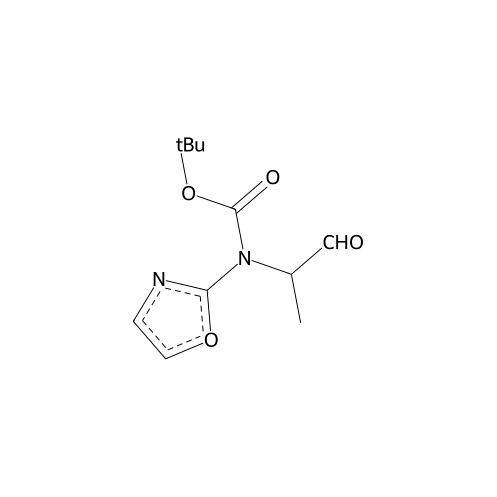 CC(C=O)N(C(=O)OC(C)(C)C)c1ncco1